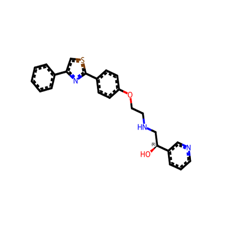 O[C@@H](CNCCOc1ccc(-c2nc(-c3ccccc3)cs2)cc1)c1cccnc1